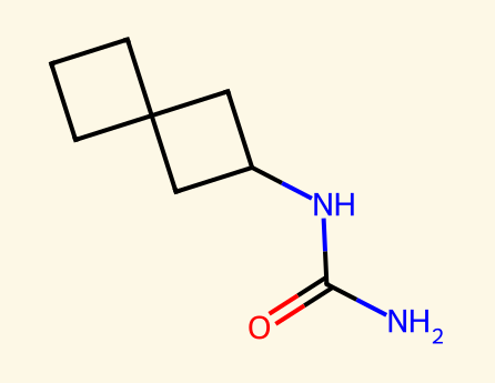 NC(=O)NC1CC2(CCC2)C1